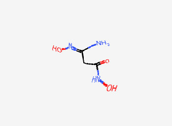 N/C(CC(=O)NO)=N/O